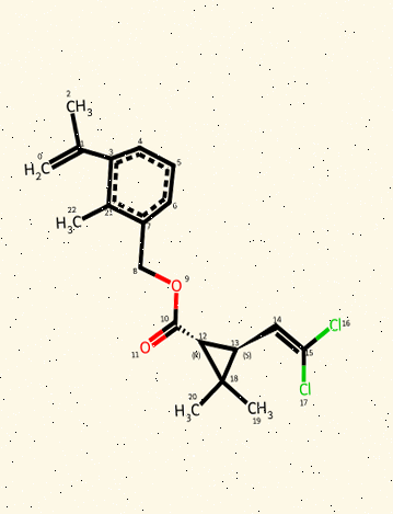 C=C(C)c1cccc(COC(=O)[C@@H]2[C@@H](C=C(Cl)Cl)C2(C)C)c1C